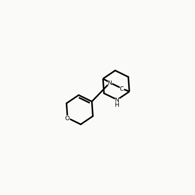 C1=C(N2CC3CCC2CN3)CCOC1